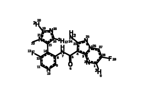 [2H]c1nc2c(C(=O)Nc3cncc(F)c3-c3c([2H])nc([2H])n3C)c(N)nn2cc1F